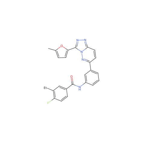 CCc1cc(C(=O)Nc2cccc(-c3ccc4nnc(-c5ccc(C)o5)n4n3)c2)ccc1F